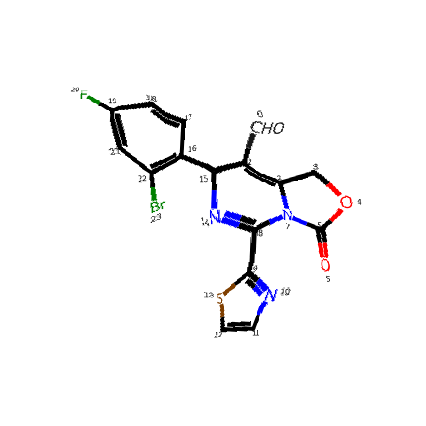 O=CC1=C2COC(=O)N2C(c2nccs2)=NC1c1ccc(F)cc1Br